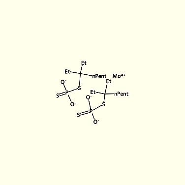 CCCCCC(CC)(CC)SP([O-])([O-])=S.CCCCCC(CC)(CC)SP([O-])([O-])=S.[Mo+4]